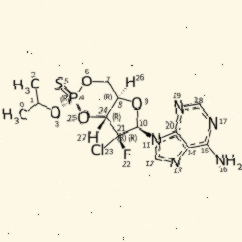 CC(C)O[P@]1(=S)OC[C@H]2O[C@@H](n3cnc4c(N)ncnc43)[C@](F)(Cl)[C@@H]2O1